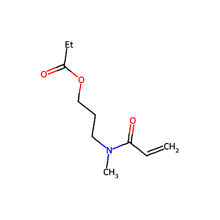 C=CC(=O)N(C)CCCOC(=O)CC